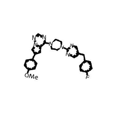 COc1ccc(-c2cc3c(N4CCN(c5ncc(Cc6ccc(F)cc6)cn5)CC4)ncnn3c2)cc1